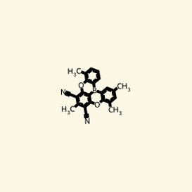 Cc1cc(C)c2c(c1)B1c3cccc(C)c3Oc3c(C#N)c(C)c(C#N)c(c31)O2